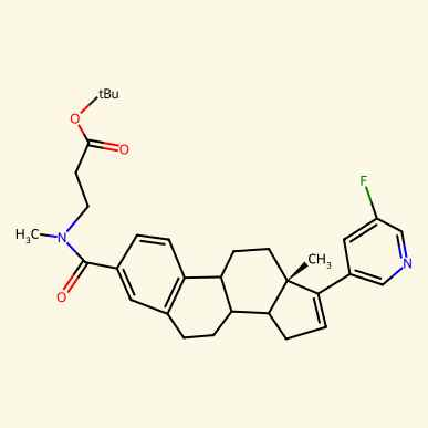 CN(CCC(=O)OC(C)(C)C)C(=O)c1ccc2c(c1)CCC1C2CC[C@]2(C)C(c3cncc(F)c3)=CCC12